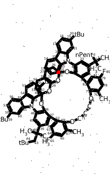 CCCCCC(C)(C)c1cc2c(c(-n3c4ccccc4c4ccc(C(C)(C)C)cc43)c1)OC1CCC3=C(O1)OC(CC3)Oc1c(cc(C(C)(C)CC(C)(C)C)cc1-n1c3cc(C(C)(C)C)ccc3c3ccc(C(C)(C)C)cc31)-c1cc(F)cc(C)c1OCCCOc1c(C)cc(F)cc1-2